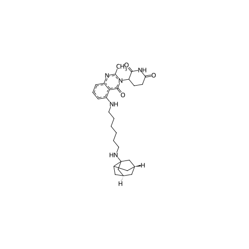 Cc1nc2cccc(NCCCCCCNC34C[C@@H]5CC3C[C@@H](C5)C4)c2c(=O)n1C1CCC(=O)NC1=O